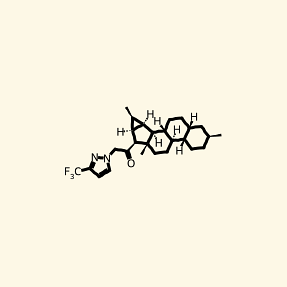 C[C@H]1CC[C@H]2[C@H](CC[C@@H]3[C@@H]2CC[C@@]2(C)[C@H]3[C@@H]3[C@H](C)[C@@H]3[C@@H]2C(=O)Cn2ccc(C(F)(F)F)n2)C1